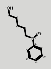 CCN(CCCCCO)c1ccccc1